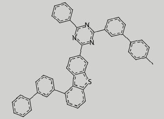 Cc1ccc(-c2cccc(-c3nc(-c4ccccc4)nc(-c4ccc5c(c4)sc4cccc(-c6cccc(-c7ccccc7)c6)c45)n3)c2)cc1